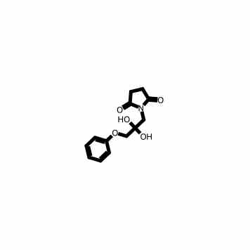 O=C1CCC(=O)N1CC(O)(O)COc1ccccc1